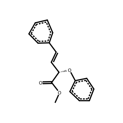 COC(=O)[C@H](C=Cc1ccccc1)Oc1ccccc1